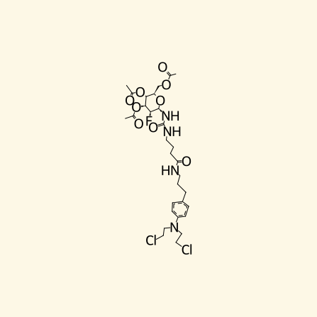 CC(=O)OC[C@H]1O[C@@H](NC(=O)NCCCC(=O)NCCCc2ccc(N(CCCl)CCCl)cc2)[C@@H](F)[C@@H](OC(C)=O)[C@@H]1OC(C)=O